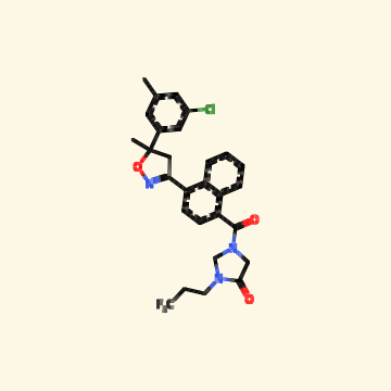 Cc1cc(Cl)cc(C2(C)CC(c3ccc(C(=O)N4CC(=O)N(CCC(F)(F)F)C4)c4ccccc34)=NO2)c1